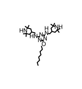 CCCCCCCCOc1nc(NCC2CC(C)(C)NC(C)(C)C2)nc(NCC2CC(C)(C)NC(C)(C)C2)n1